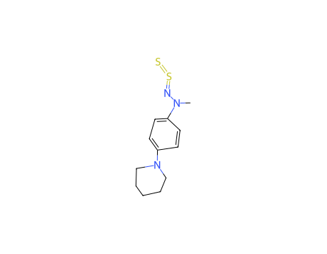 CN(N=S=S)c1ccc(N2CCCCC2)cc1